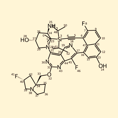 CC(C)[Si](C#Cc1c(F)ccc2cc(O)cc(-c3ncc4c(N5C[C@H](N)C[C@@H](O)C5)nc(OC[C@@]56CCCN5C[C@H](F)C6)nc4c3F)c12)(C(C)C)C(C)C